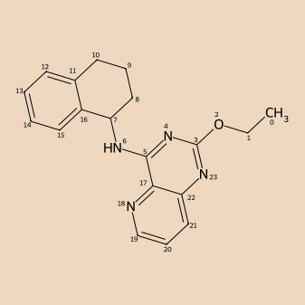 CCOc1nc(NC2CCCc3ccccc32)c2ncccc2n1